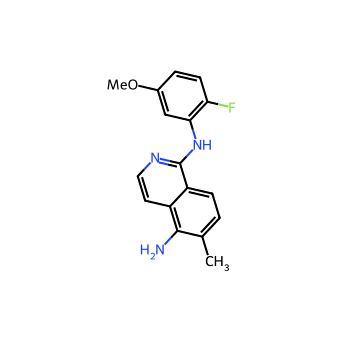 COc1ccc(F)c(Nc2nccc3c(N)c(C)ccc23)c1